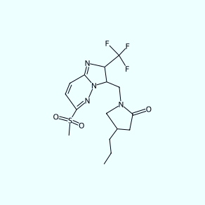 CCCC1CC(=O)N(CC2C(C(F)(F)F)N=C3C=CC(S(C)(=O)=O)=NN32)C1